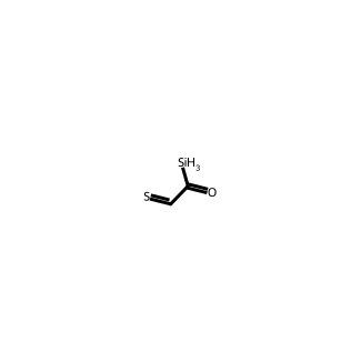 O=C([SiH3])C=S